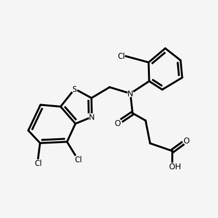 O=C(O)CCC(=O)N(Cc1nc2c(Cl)c(Cl)ccc2s1)c1ccccc1Cl